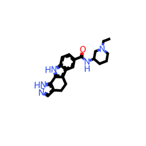 CCN1CCCC(NC(=O)c2ccc3[nH]c4c(c3c2)CCc2cn[nH]c2-4)C1